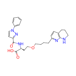 O=C(N[C@@H](CCOCCCCc1ccc2c(n1)NCCC2)C(=O)O)c1ccn(-c2ccccc2)n1